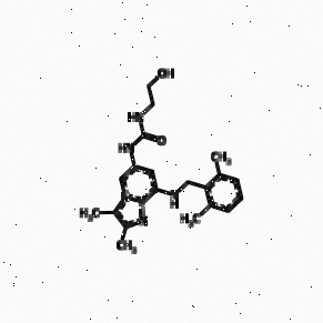 Cc1cccc(C)c1CNc1cc(NC(=O)NCCO)cn2c(C)c(C)nc12